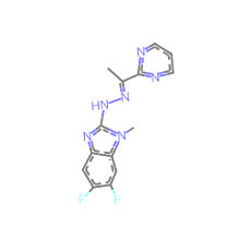 C/C(=N\Nc1nc2cc(F)c(F)cc2n1C)c1ncccn1